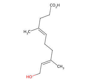 CC(=CCO)CCC=C(C)CCC(=O)O